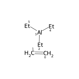 C=C.C[CH2][Al]([CH2]C)[CH2]C